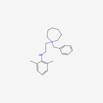 Cc1cccc(C)c1NCC[N+]1(Cc2ccccc2)CCCCCC1